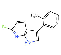 Fc1ccc2c(-c3ccccc3C(F)(F)F)c[nH]c2n1